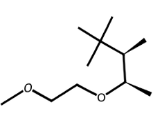 COCCO[C@H](C)[C@H](C)C(C)(C)C